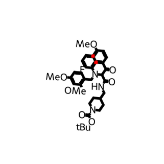 COc1ccc(C(=O)C(C(=O)NCC2CCN(C(=O)OC(C)(C)C)CC2)N(Cc2ccc(OC)cc2OC)c2ccccc2F)cc1